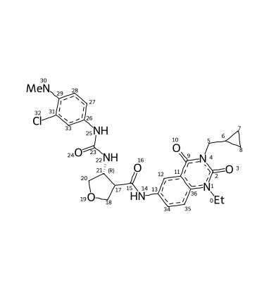 CCn1c(=O)n(CC2CC2)c(=O)c2cc(NC(=O)C3COC[C@@H]3NC(=O)Nc3ccc(NC)c(Cl)c3)ccc21